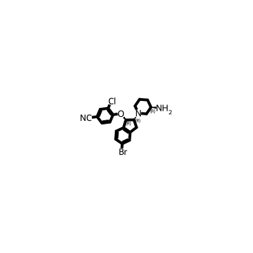 N#Cc1ccc(O[C@@H]2c3ccc(Br)cc3C[C@H]2N2CCC[C@@H](N)C2)c(Cl)c1